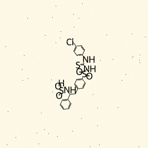 O=[SH](=O)NC(Cc1ccc(S(=O)(=O)NC(=S)Nc2ccc(Cl)cc2)cc1)c1ccccc1